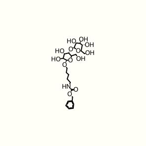 O=C(NCCCCCO[C@@H]1OC(CO)[C@@H](O[C@@H]2OC(CO)[C@@H](O)[C@H](O)C2O)[C@H](O)C1O)OCc1ccccc1